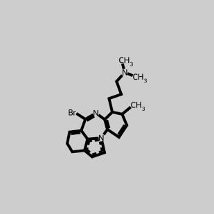 CC1C=CC2=C(N=C(Br)C3=CCCc4ccn2c43)C1CCCN(C)C